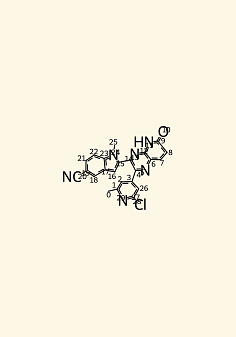 Cc1cc(-c2nc3ccc(=O)[nH]c3nc2-c2cc3cc(C#N)ccc3n2C)cc(Cl)n1